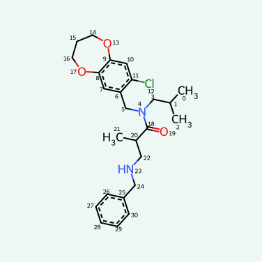 CC(C)CN(Cc1cc2c(cc1Cl)OCCCO2)C(=O)C(C)CNCc1ccccc1